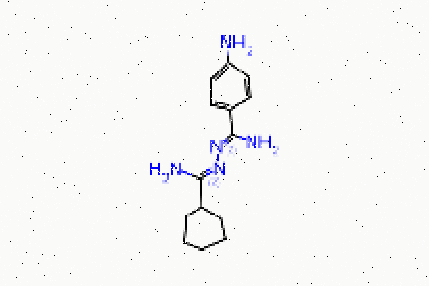 N/C(=N\N=C(/N)C1CCCCC1)c1ccc(N)cc1